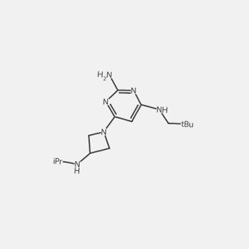 CC(C)NC1CN(c2cc(NCC(C)(C)C)nc(N)n2)C1